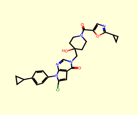 O=C(c1cnc(C2CC2)o1)N1CCC(O)(Cn2cnc3c(cc(Cl)n3-c3ccc(C4CC4)cc3)c2=O)CC1